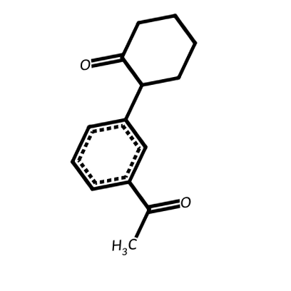 CC(=O)c1cccc(C2CCCCC2=O)c1